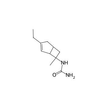 CCC1=CC2C(C1)CC2(C)NC(N)=O